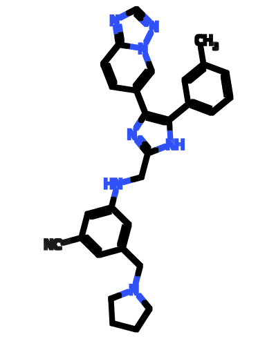 Cc1cccc(-c2[nH]c(CNc3cc(C#N)cc(CN4CCCC4)c3)nc2-c2ccc3ncnn3c2)c1